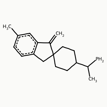 C=C1c2cc(C)ccc2CC12CCC(C(C)P)CC2